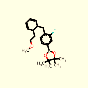 COCCC1C=CC=CC1Cc1ccc(B2OC(C)(C)C(C)(C)O2)cc1F